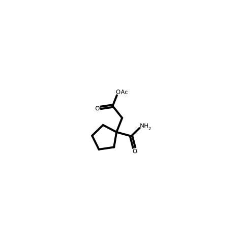 CC(=O)OC(=O)CC1(C(N)=O)CCCC1